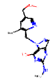 COc1cc(CO)cnc1Cn1ncc2nc(NC(=O)O)nc(O)c21